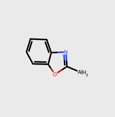 [AlH2][c]1nc2ccccc2o1